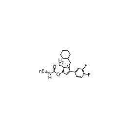 CCCCNC(=O)Oc1cc(-c2ccc(F)c(F)c2)n(CC2CCCCC2)c1C